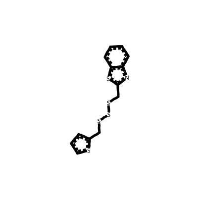 c1csc(CSSSCc2nc3ccccc3s2)c1